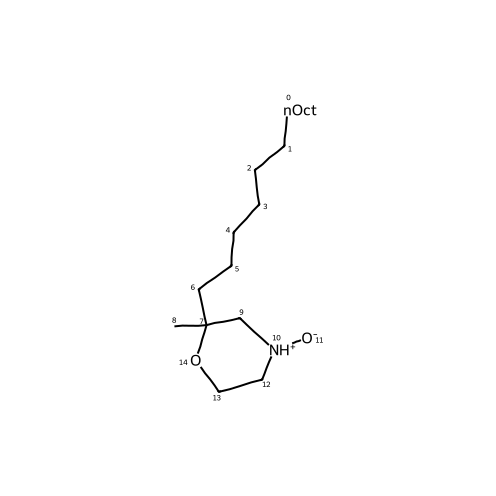 CCCCCCCCCCCCCCC1(C)C[NH+]([O-])CCO1